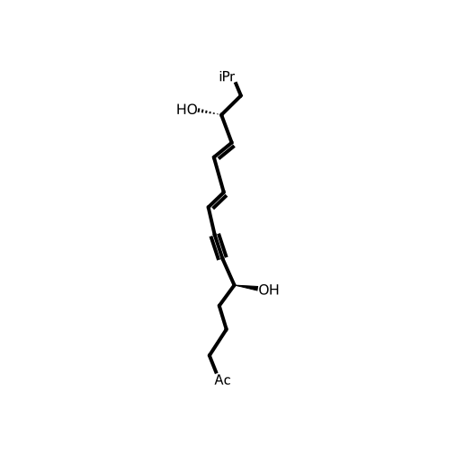 CC(=O)CCC[C@H](O)C#C/C=C/C=C/[C@H](O)CC(C)C